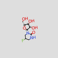 O=C1NCC(F)CN1[C@@H]1O[C@H](CO)[C@@H](O)[C@@H]1O